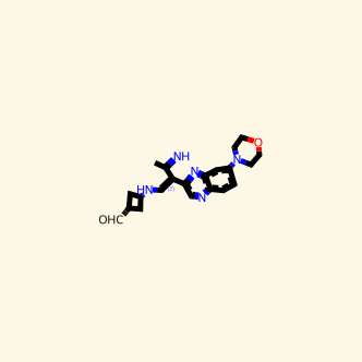 CC(=N)/C(=C\NC1CC(C=O)C1)c1cnc2ccc(N3CCOCC3)cc2n1